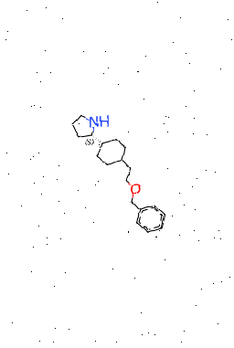 c1ccc(COCCC2CCC([C@@H]3CCCN3)CC2)cc1